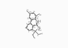 CCC(C)(CC)c1cccc2c1/c(=N\C)[nH]c1c(C)cc(C)cc12